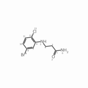 NC(=O)CCNc1cc(Br)ccc1Cl